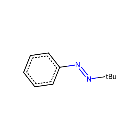 CC(C)(C)N=Nc1ccccc1